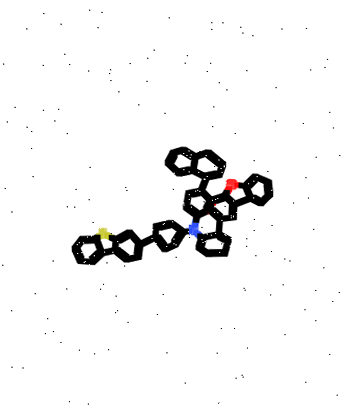 c1ccc(N(c2ccc(-c3ccc4c(c3)sc3ccccc34)cc2)c2ccc(-c3cccc4ccccc34)cc2)c(-c2ccc3oc4ccccc4c3c2)c1